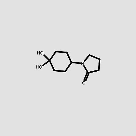 O=C1CCCN1C1CCC(O)(O)CC1